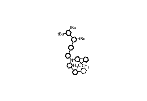 CC(C)(C)c1cc(-c2ccc(-c3cccc(N(c4cccc(-c5cccc(C6CCCCC6)c5)c4)c4ccc5c(c4)C(C)(C)c4ccccc4-5)c3)cc2)cc(-c2cc(C(C)(C)C)cc(C(C)(C)C)c2)c1